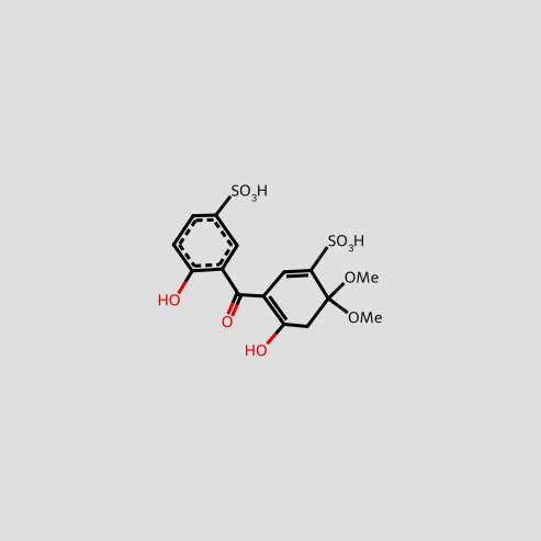 COC1(OC)CC(O)=C(C(=O)c2cc(S(=O)(=O)O)ccc2O)C=C1S(=O)(=O)O